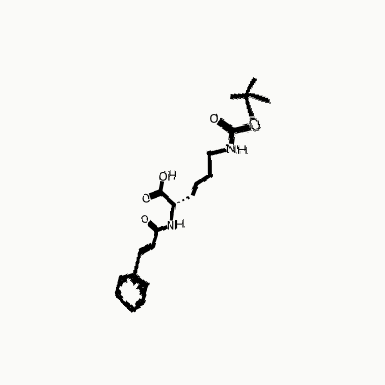 CC(C)(C)OC(=O)NCCCC[C@H](NC(=O)C=Cc1ccccc1)C(=O)O